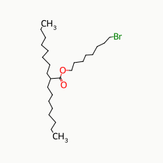 CCCCCCCCC(CCCCCCCC)C(=O)OCCCCCCCCBr